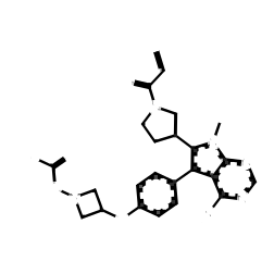 C=CC(=O)N1CCC(c2c(-c3ccc(OC4CN(OC(=O)C(F)(F)F)C4)cc3)c3c(N)ncnc3n2C)C1